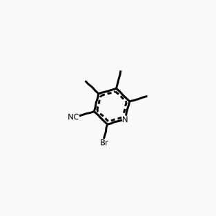 Cc1nc(Br)c(C#N)c(C)c1C